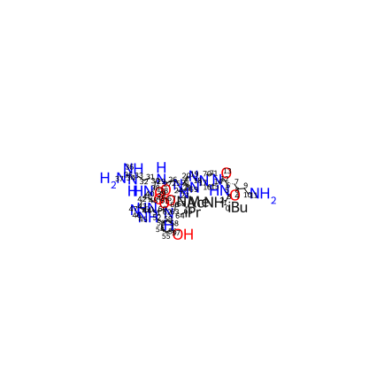 CC[C@H](C)[C@H](NC(C)=O)C(=O)N[C@@H](CCCCN)C(=O)N1CCN(c2ncc3c(ncn3CC(=O)N[C@@H](CCCNC(=N)N)C(=O)N[C@@H](Cc3c[nH]cn3)C(=O)N[C@@H](Cc3ccc(O)cc3)C(=O)N[C@@H](CC(C)C)C(=O)NC)n2)CC1